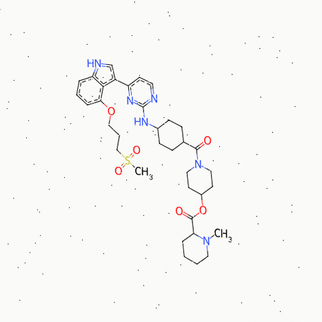 CN1CCCCC1C(=O)OC1CCN(C(=O)C2CCC(Nc3nccc(-c4c[nH]c5cccc(OCCCS(C)(=O)=O)c45)n3)CC2)CC1